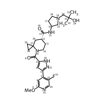 COc1cc(-c2cc(C(=O)N3CC[C@@H](C(=O)NC4CCN(CC(C)(C)O)C4)CC34CC4)[nH]n2)c(F)cn1